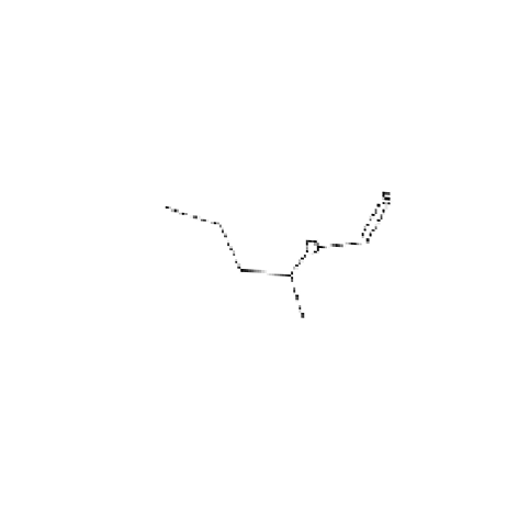 CCCC(C)OC=S